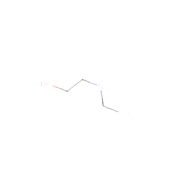 C[C@@H](CO)NCC(=O)O